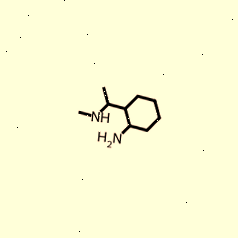 CNC(C)C1CCCCC1N